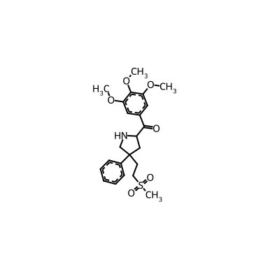 COc1cc(C(=O)C2CC(CCS(C)(=O)=O)(c3ccccc3)CN2)cc(OC)c1OC